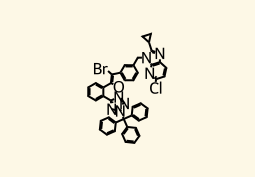 Clc1ccc2nc(C3CC3)n(Cc3ccc4oc(-c5ccccc5-c5nnn(C(c6ccccc6)(c6ccccc6)c6ccccc6)n5)c(Br)c4c3)c2n1